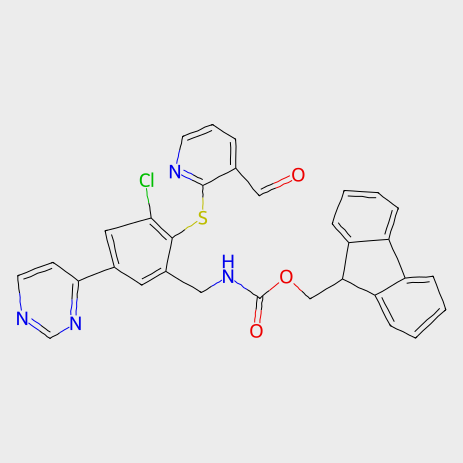 O=Cc1cccnc1Sc1c(Cl)cc(-c2ccncn2)cc1CNC(=O)OCC1c2ccccc2-c2ccccc21